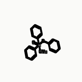 C[O][Ti](=[O])([O]c1ccccc1)([c]1ccccc1)[c]1ccccc1